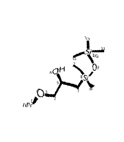 [CH2]CCOCC(O)C[Si](C)(C)O[Si](C)(C)C